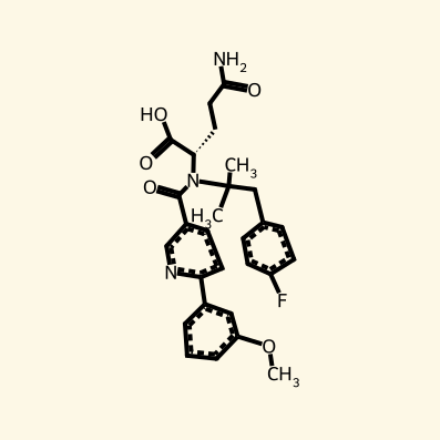 COc1cccc(-c2ccc(C(=O)N([C@@H](CCC(N)=O)C(=O)O)C(C)(C)Cc3ccc(F)cc3)cn2)c1